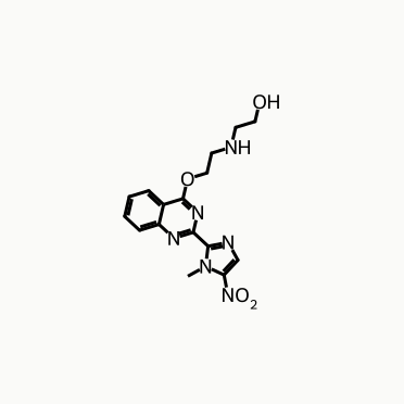 Cn1c([N+](=O)[O-])cnc1-c1nc(OCCNCCO)c2ccccc2n1